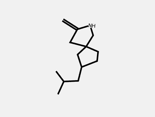 C=C1CC2(CCC(CC(C)C)C2)CN1